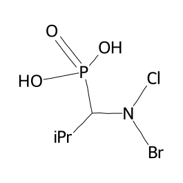 CC(C)C(N(Cl)Br)P(=O)(O)O